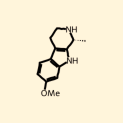 COc1ccc2c3c([nH]c2c1)[C@@H](C)NCC3